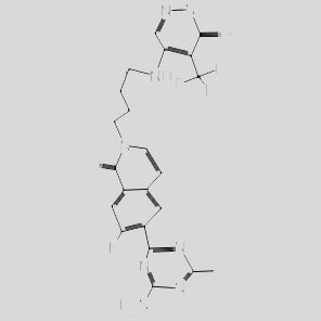 Cc1nc(N)nc(-c2cc3ccn(CCC[C@H](C)Nc4cn[nH]c(=O)c4C(F)(F)F)c(=O)c3cc2F)n1